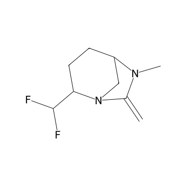 C=C1N(C)C2CCC(C(F)F)N1C2